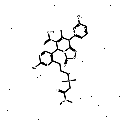 COC(=O)C1=C(C)N(c2cccc(C(F)(F)F)c2)c2n[nH]c(=O)n2C1c1ccc(C#N)cc1CCC[N+](C)(C)CC(=O)N(C)C